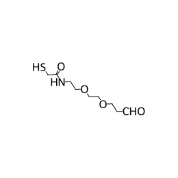 O=CCCOCCOCCNC(=O)CS